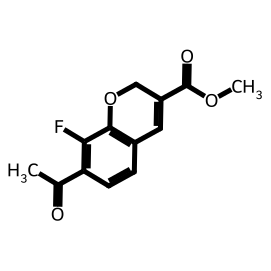 COC(=O)C1=Cc2ccc(C(C)=O)c(F)c2OC1